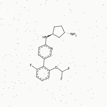 N[C@H]1CC[C@H](Nc2ccc(-c3c(F)cccc3OC(F)F)cn2)C1